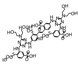 O=S(=O)(O)c1ccc(SOOO)c(Nc2nc(Nc3ccc(C=Cc4ccc(Nc5nc(Nc6cc(SOOO)ccc6S(=O)(=O)O)nc(N(CCO)CCO)n5)cc4S(=O)(=O)O)c(SOO)c3)nc(N(CCO)CCO)n2)c1